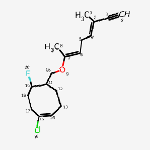 C#C/C(C)=C/C/C=C(\C)OCC1CC/C=C(/Cl)CCC1F